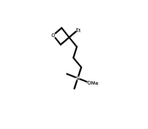 CCC1(CCC[Si](C)(C)OC)COC1